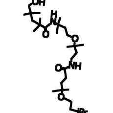 CC(C)CCOC(C)(C)CCC(=O)NCCC(C)(C)OCCC(C)(C)NC(=O)C(C)(C)CC(C)(C)CO